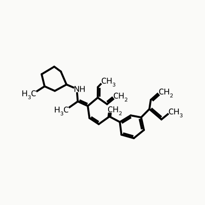 C=CC(=C\C)/C(/C=C\C(=C)c1cccc(/C(C=C)=C/C)c1)=C(/C)NC1CCCC(C)C1